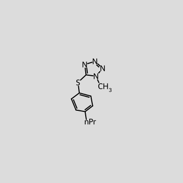 CCCc1ccc(Sc2nnnn2C)cc1